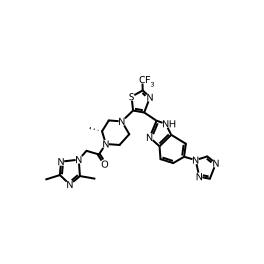 Cc1nc(C)n(CC(=O)N2CCN(c3sc(C(F)(F)F)nc3-c3nc4ccc(-n5cncn5)cc4[nH]3)C[C@H]2C)n1